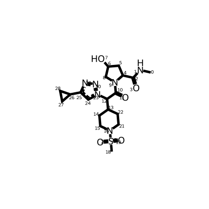 CNC(=O)C1CC(O)CN1C(=O)C(C1CCN(S(C)(=O)=O)CC1)n1cc(C2CC2)nn1